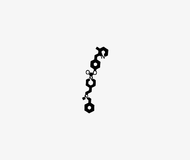 Cc1cccnc1Cc1ccc(OC(=O)N2CCC(CCN(C)Cc3ccccc3)CC2)cc1